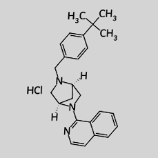 CC(C)(C)c1ccc(CN2C[C@H]3C[C@@H]2CN3c2nccc3ccccc23)cc1.Cl